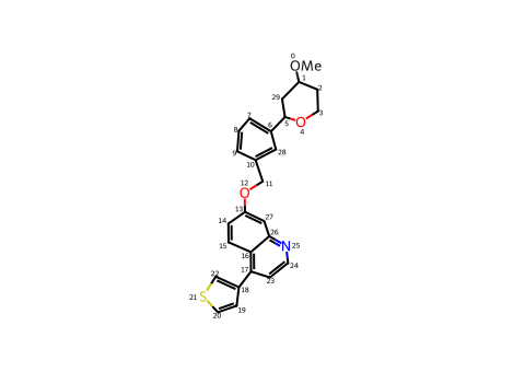 COC1CCOC(c2cccc(COc3ccc4c(-c5ccsc5)ccnc4c3)c2)C1